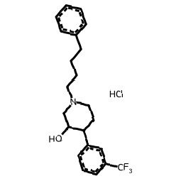 Cl.OC1CN(CCCCc2ccccc2)CCC1c1cccc(C(F)(F)F)c1